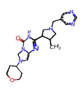 CC1CN(Cc2cncnc2)CC1C1=NC2=CN(C3CCOCC3)CN2C(=O)N1